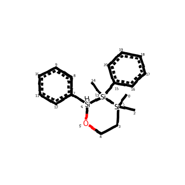 C[Si]1(C)CCO[SiH](c2ccccc2)[Si]1(C)c1ccccc1